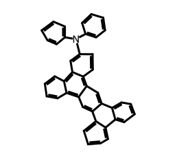 c1ccc(N(c2ccccc2)c2ccc3c(c2)c2ccccc2c2cc4c5ccccc5c5ccccc5c4cc32)cc1